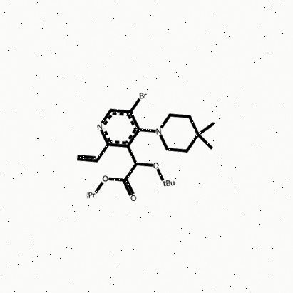 C=Cc1ncc(Br)c(N2CCC(C)(C)CC2)c1C(OC(C)(C)C)C(=O)OC(C)C